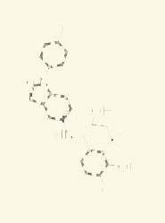 Cc1ccc(-n2ncc3cc(N[C@H]4c5ccc(Cl)c(O)c5C(C)(C)C[C@@]4(O)C(F)(F)F)ccc32)cc1